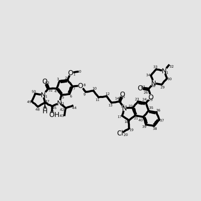 COc1cc2c(cc1OCCCCCC(=O)N1CC(CCl)c3c1cc(OC(=O)N1CCN(C)CC1)c1ccccc31)N(C(C)C)C(O)[C@@H]1CCCN1C2=O